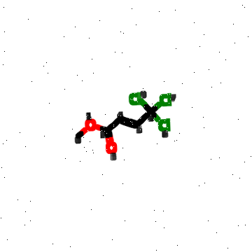 COC(=O)C=CC(Cl)(Cl)Cl